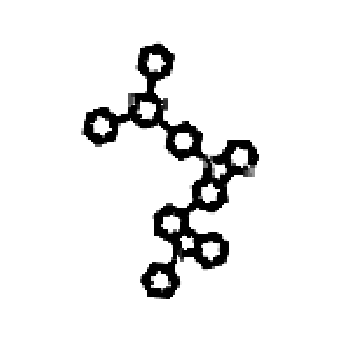 c1ccc(-c2cc(-c3ccc(-n4c5cc(-c6cccc7c6c6ccccc6n7-c6ccccc6)ccc5c5ncccc54)cc3)nc(-c3ccccc3)n2)cc1